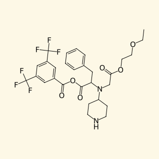 CCOCCOC(=O)CN(C1CCNCC1)C(Cc1ccccc1)C(=O)OC(=O)c1cc(C(F)(F)F)cc(C(F)(F)F)c1